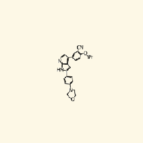 CC(C)Oc1ccc(-c2ccnc3[nH]c(-c4ccc(N5CCOCC5)cc4)cc23)cc1C#N